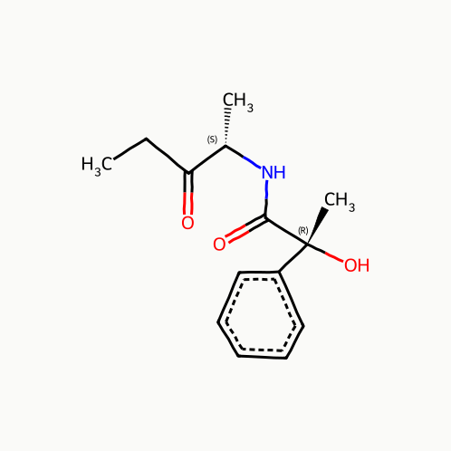 CCC(=O)[C@H](C)NC(=O)[C@](C)(O)c1ccccc1